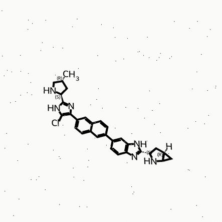 C[C@H]1CN[C@H](c2nc(-c3ccc4cc(-c5ccc6nc([C@@H]7C[C@H]8CC8N7)[nH]c6c5)ccc4c3)c(Cl)[nH]2)C1